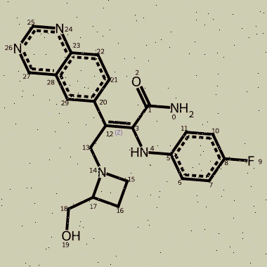 NC(=O)/C(Nc1ccc(F)cc1)=C(/CN1CCC1CO)c1ccc2ncncc2c1